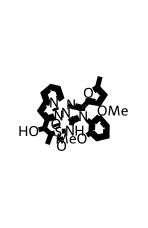 COc1cccc(OC)c1-n1c(NS(=O)(=O)C(C)C(O)c2cc3ccccn3n2)nnc1-c1ccc(C)o1